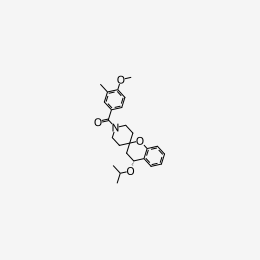 COc1ccc(C(=O)N2CCC3(CC2)C[C@@H](OC(C)C)c2ccccc2O3)cc1C